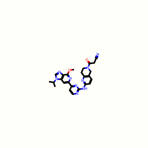 COc1nc(-c2ccnc(Nc3ccc4c(n3)CCN(C(=O)CC#N)C4)n2)cc2c1ncn2C(C)C